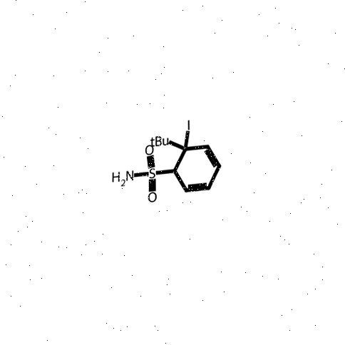 CC(C)(C)C1(I)C=CC=CC1S(N)(=O)=O